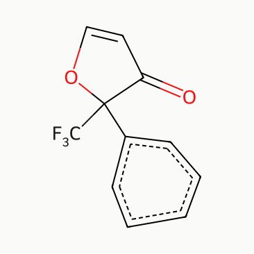 O=C1C=COC1(c1ccccc1)C(F)(F)F